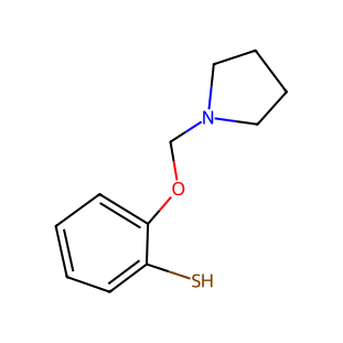 Sc1ccccc1OCN1CCCC1